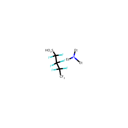 CCN(CC)CC.O=S(=O)(O)C(F)(F)C(F)(F)C(F)(F)C(F)(F)F